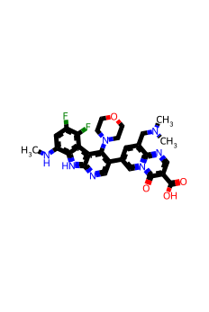 CNc1cc(F)c(F)c2c1[nH]c1ncc(-c3cc(CN(C)C)c4ncc(C(=O)O)c(=O)n4c3)c(N3CCOCC3)c12